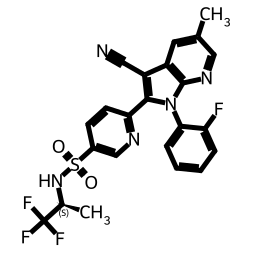 Cc1cnc2c(c1)c(C#N)c(-c1ccc(S(=O)(=O)N[C@@H](C)C(F)(F)F)cn1)n2-c1ccccc1F